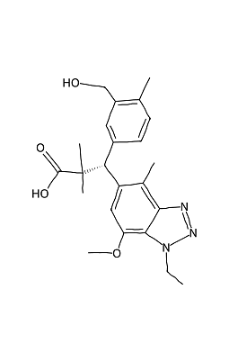 CCn1nnc2c(C)c([C@@H](c3ccc(C)c(CO)c3)C(C)(C)C(=O)O)cc(OC)c21